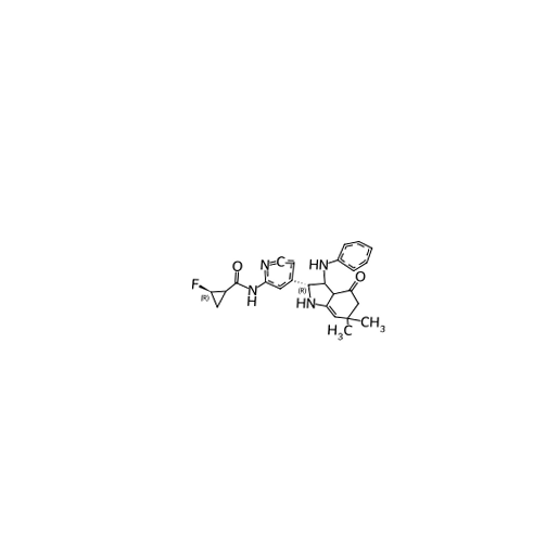 CC1(C)C=C2N[C@H](c3ccnc(NC(=O)C4C[C@H]4F)c3)C(Nc3ccccc3)C2C(=O)C1